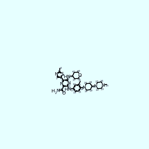 Cc1ncc(-c2nc(C(N)=O)c(Nc3ccc(N4CCC(N5CCN(C)CC5)CC4)c(C)c3)nc2NC2CCOCC2)s1